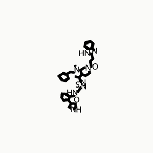 CC(c1nnc(CNC(=O)c2ccccc2C2CCNC2)s1)C1CCN(C(=O)CCc2nc3ccccc3[nH]2)CC1N(C)CCc1ccccc1